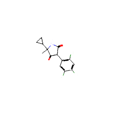 CC1(C2CC2)NC(=O)C(c2cc(Cl)c(Cl)cc2Cl)C1=O